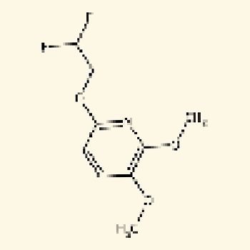 COc1ccc(OCC(F)F)nc1OC